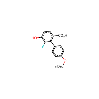 CCCCCCCCCCOc1ccc(-c2c(C(=O)O)ccc(O)c2F)cc1